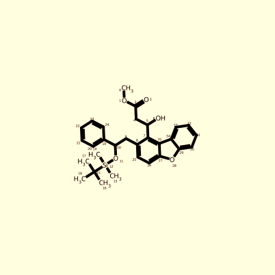 COC(=O)CC(O)c1c(CC(O[Si](C)(C)C(C)(C)C)c2ccccc2)ccc2oc3ccccc3c12